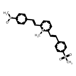 C[n+]1c(/C=C/c2ccc([S+](C)[O-])cc2)cccc1/C=C/c1ccc(S(C)(=O)=O)cc1